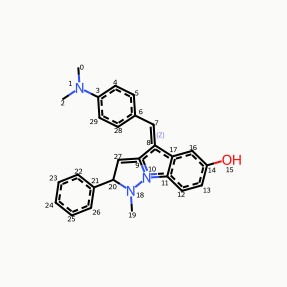 CN(C)c1ccc(/C=c2\c3n(c4ccc(O)cc24)N(C)C(c2ccccc2)C=3)cc1